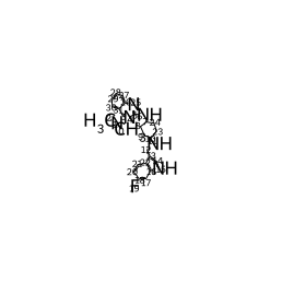 CN(C)c1nc(N[C@H]2CC[C@@H](NCc3c[nH]c4cc(F)ccc34)CC2)nc2ccccc12